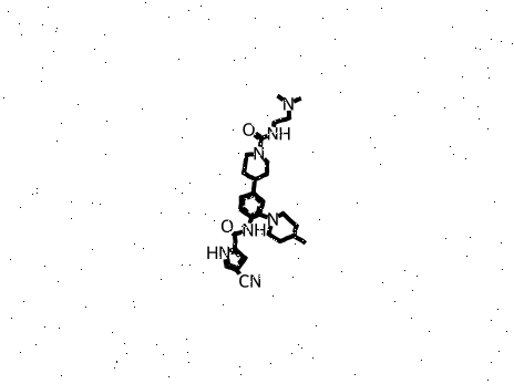 CC1CCN(c2cc(C3CCN(C(=O)NCCN(C)C)CC3)ccc2NC(=O)c2cc(C#N)c[nH]2)CC1